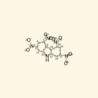 O=[N+]([O-])c1cc([N+](=O)[O-])c2c(c1)[nH]c1cc([N+](=O)[O-])cc([N+](=O)[O-])c12